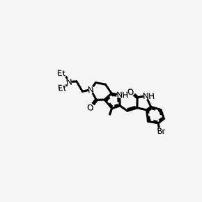 CCN(CC)CCN1CCc2[nH]c(C=C3C(=O)Nc4ccc(Br)cc43)c(C)c2C1=O